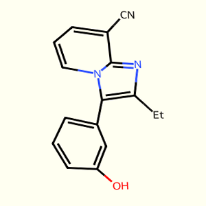 CCc1nc2c(C#N)cccn2c1-c1cccc(O)c1